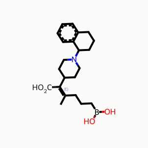 C/C(CCCB(O)O)=C(\C(=O)O)C1CCN(C2CCCc3ccccc32)CC1